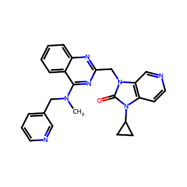 CN(Cc1cccnc1)c1nc(Cn2c(=O)n(C3CC3)c3ccncc32)nc2ccccc12